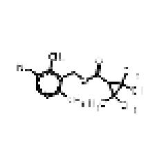 Cc1ccc(C#N)c(C)c1COC(=O)C1C(C)(C)C1(C)C